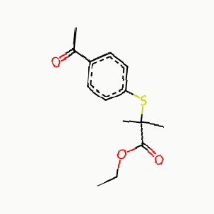 CCOC(=O)C(C)(C)Sc1ccc(C(C)=O)cc1